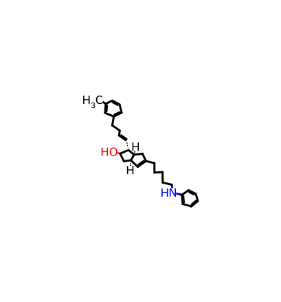 Cc1cccc(CC/C=C/[C@@H]2[C@H]3CC(CCCCCNc4ccccc4)=C[C@H]3C[C@H]2O)c1